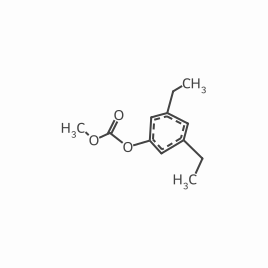 CCc1cc(CC)cc(OC(=O)OC)c1